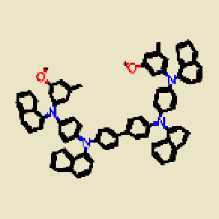 COc1cc(C)cc(N(c2ccc(N(c3ccc(-c4ccc(N(c5ccc(N(c6cc(C)cc(OC)c6)c6cccc7ccccc67)cc5)c5cccc6ccccc56)cc4)cc3)c3cccc4ccccc34)cc2)c2cccc3ccccc23)c1